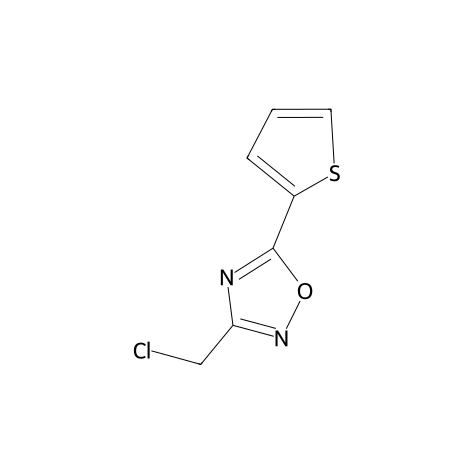 ClCc1noc(-c2cccs2)n1